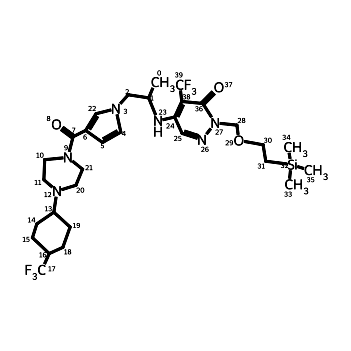 CC(Cn1ccc(C(=O)N2CCN(C3CCC(C(F)(F)F)CC3)CC2)c1)Nc1cnn(COCC[Si](C)(C)C)c(=O)c1C(F)(F)F